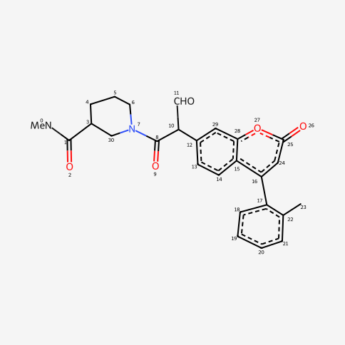 CNC(=O)C1CCCN(C(=O)C(C=O)c2ccc3c(-c4ccccc4C)cc(=O)oc3c2)C1